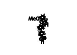 COc1cccc(C2(C(=O)Nc3cccc(-c4ccc([SH](=O)=O)cc4)n3)CC2)c1